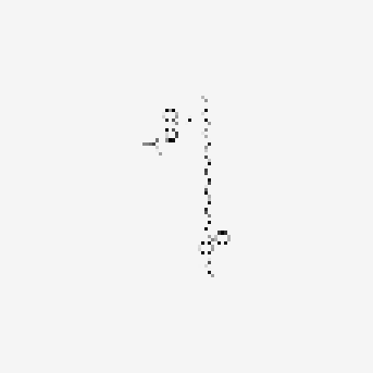 CCC(CCCCCCCCCCCCC(=O)OCC(C)C)CCC(=O)OCC(C)C